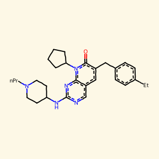 CCCN1CCC(Nc2ncc3cc(Cc4ccc(CC)cc4)c(=O)n(C4CCCC4)c3n2)CC1